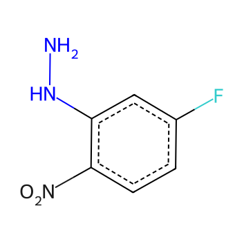 NNc1cc(F)ccc1[N+](=O)[O-]